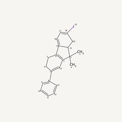 CC1(C)C2=C(CCC(c3ccccc3)=C2)C2=CC=C(I)CC21